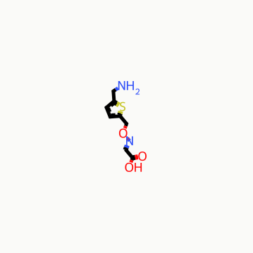 NCc1ccc(CON=CC(=O)O)s1